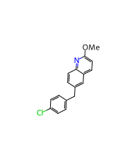 COc1ccc2cc(Cc3ccc(Cl)cc3)ccc2n1